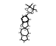 CC1(C)OB(c2ccc3c(c2)CC2(CCC4CCCN4CC2)O3)OC1(C)C